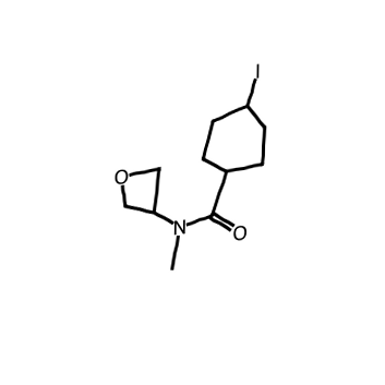 CN(C(=O)C1CCC(I)CC1)C1COC1